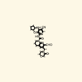 CO[C@@H]1CCC[C@H]1Nc1cc(NC(=O)N2CCCc3cc(CN4CCOCC4=O)c(C=O)nc32)ncc1C#N